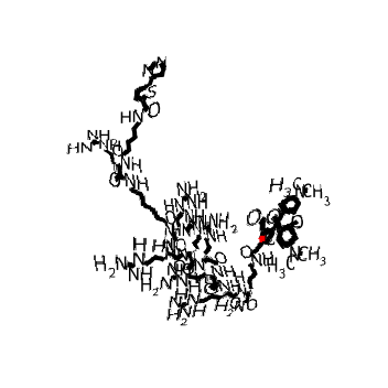 CN(C)c1ccc2c(c1)Oc1cc(N(C)C)ccc1C21OC(=O)c2cc(C(=O)NCCCC[C@@H](NC(=O)[C@@H](CCCNC(=N)N)NC(=O)[C@@H](CCCNC(=N)N)NC(=O)[C@@H](CCCNC(=N)N)NC(=O)[C@@H](CCCNC(=N)N)NC(=O)[C@@H](CCCNC(=N)N)NC(=O)[C@@H](CCCNC(=N)N)NC(=O)CCCCCNC(=O)[C@@H](CCCNC(=N)N)NC(=O)CCCCCNC(=O)c3ccc(-c4ccncn4)s3)C(N)=O)ccc21